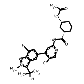 CC(=O)N[C@@H]1CCC[C@H](C(=O)Nc2cc(-c3cc(F)c4nn(C)c(C(C)(C)O)c4c3)c(Cl)cn2)C1